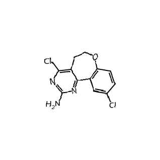 Nc1nc(Cl)c2c(n1)-c1cc(Cl)ccc1OCC2